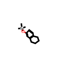 C[Si](C)(C)Oc1ccc2c(c1)CCCC2